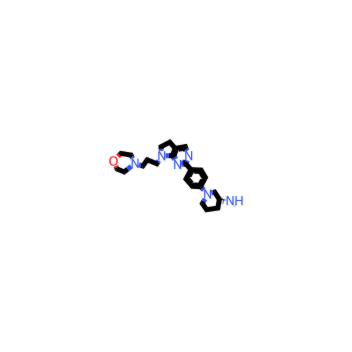 CN[C@@H]1CCCN(c2ccc(-c3ncc4c(n3)N(CCCN3CCOCC3)CC4)cc2)C1